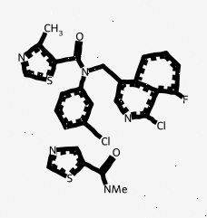 CNC(=O)c1cncs1.Cc1ncsc1C(=O)N(Cc1cnc(Cl)c2c(F)cccc12)c1cccc(Cl)c1